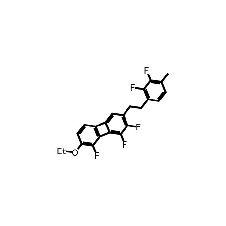 CCOc1ccc2c(c1F)-c1c-2cc(CCc2ccc(C)c(F)c2F)c(F)c1F